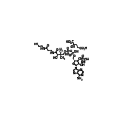 CC(C)(COP(=O)(O)OP(=O)(O)OC[C@H]1O[C@@H](n2cnc3c(N)ncnc32)[C@H](O)[C@@H]1OP(=O)(O)O)[C@@H](O)C(=O)NCCC(=O)NCCS.O=C(O)CCC(O)C(=O)O